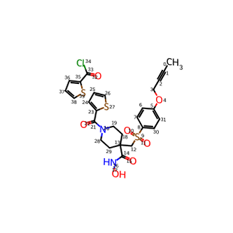 CC#CCOc1ccc(S(=O)(=O)CC2(C(=O)NO)CCN(C(=O)c3cccs3)CC2)cc1.O=C(Cl)c1cccs1